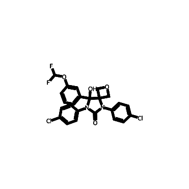 O=C1N(c2ccc(Cl)cc2)C2(COC2)C(O)(c2cccc(OC(F)F)c2)N1c1ccc(Cl)cc1